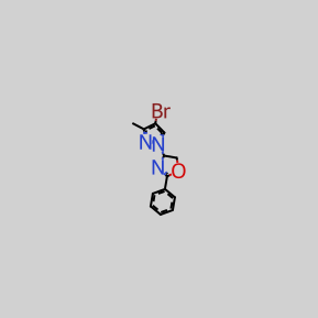 Cc1nn(C2COC(c3ccccc3)=N2)cc1Br